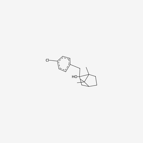 CC1(C)C2CCC1(C)C(O)(Cc1ccc(Cl)cc1)C2